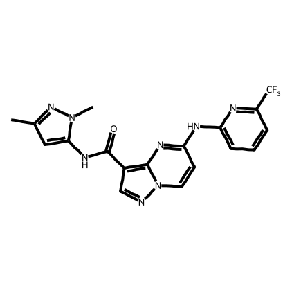 Cc1cc(NC(=O)c2cnn3ccc(Nc4cccc(C(F)(F)F)n4)nc23)n(C)n1